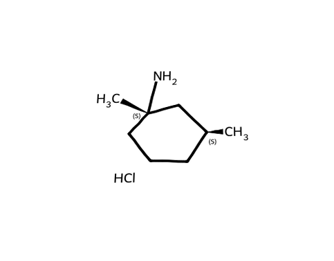 C[C@H]1CCC[C@](C)(N)C1.Cl